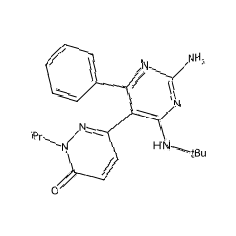 CC(C)n1nc(-c2c(NC(C)(C)C)nc(N)nc2-c2ccccc2)ccc1=O